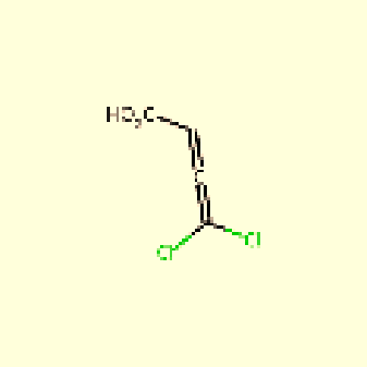 O=C(O)C=C=C(Cl)Cl